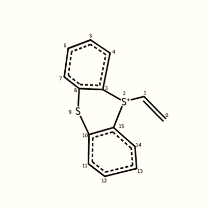 C=C[S+]1c2ccccc2Sc2ccccc21